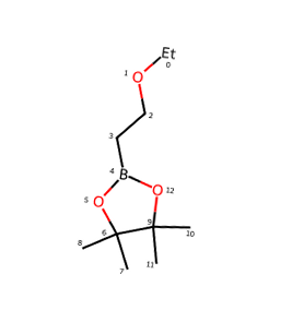 CCOCCB1OC(C)(C)C(C)(C)O1